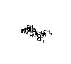 Cc1cn(-c2cc(C(=O)Nc3ccc(C)c(Nc4nn(C)c5c4cnc4[nH]ccc45)c3)cc(C(F)(F)F)c2)cn1